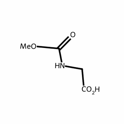 [CH2]OC(=O)NCC(=O)O